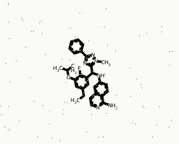 CCc1cc(OC(C)C)c(F)c(C(Nc2ccc3c(N)nccc3c2)c2nc(-c3ccccc3)nn2C)c1